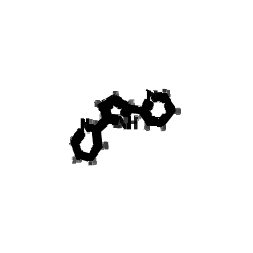 C1=NC(c2ccc(-c3ccccn3)[nH]2)=CCC1